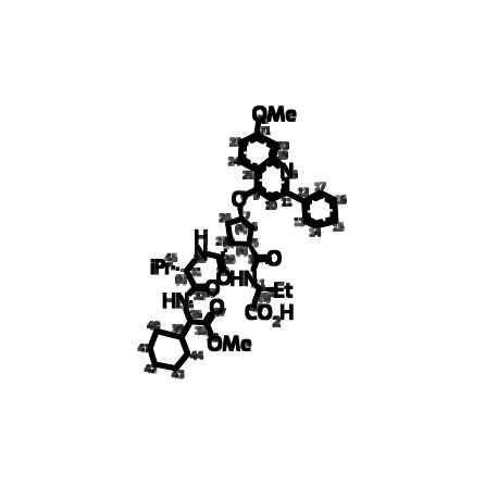 CC[C@H](NC(=O)[C@@H]1C[C@H](Oc2cc(-c3ccccc3)nc3cc(OC)ccc23)C[C@H]1C(=O)N[C@H](C(=O)NC(C(=O)OC)C1CCCCC1)C(C)C)C(=O)O